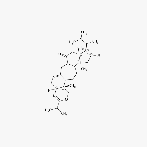 CC(C)C1=N[C@H]2CC=C3CC4C(=O)C[C@]5(C)[C@@H](C(C)N(C)C)[C@H](O)C[C@@]5(C)C4CCC3[C@]2(C)CO1